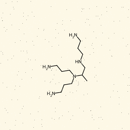 CC(CNCCCN)N(CCCN)CCCN